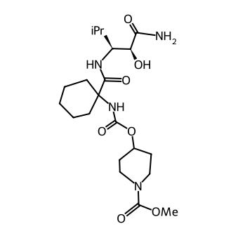 COC(=O)N1CCC(OC(=O)NC2(C(=O)N[C@@H](C(C)C)[C@H](O)C(N)=O)CCCCC2)CC1